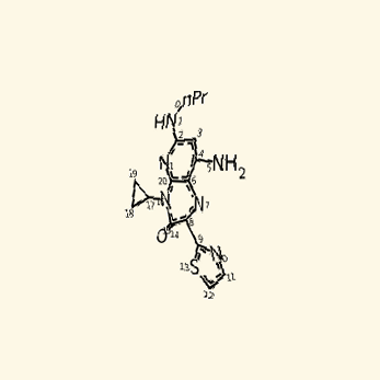 CCCNc1cc(N)c2nc(-c3nccs3)c(=O)n(C3CC3)c2n1